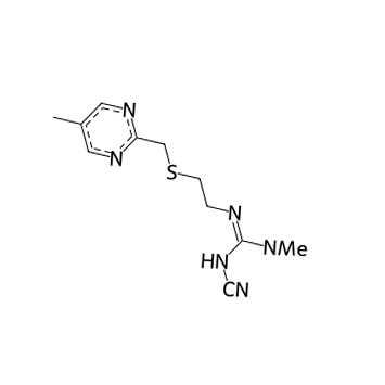 CNC(=NCCSCc1ncc(C)cn1)NC#N